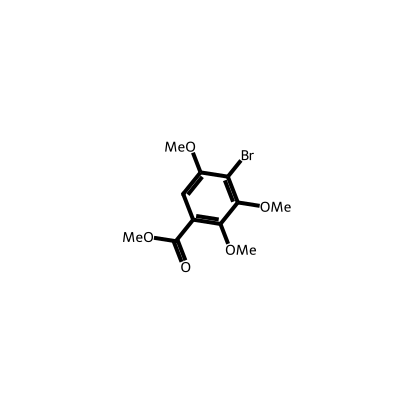 COC(=O)c1cc(OC)c(Br)c(OC)c1OC